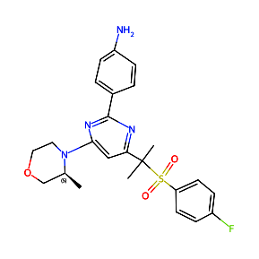 C[C@H]1COCCN1c1cc(C(C)(C)S(=O)(=O)c2ccc(F)cc2)nc(-c2ccc(N)cc2)n1